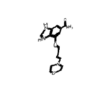 NC(=O)c1cc2c(c(OCCCN3CCOCC3)c1)NCN2